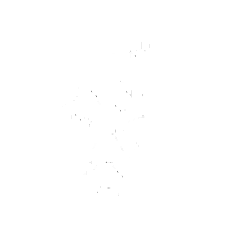 CCN(CC)CCN1C(C)C=CN1c1nccnc1-c1cc(Cl)c2ncccc2c1